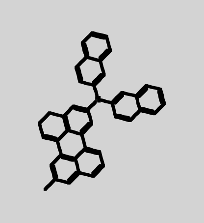 Cc1cc2cccc3c4cc(N(c5ccc6ccccc6c5)c5ccc6ccccc6c5)cc5c4c(c(c1)c23)=CCC5